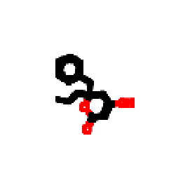 CCCC1(Cc2ccccc2)CC(O)=CC(=O)O1